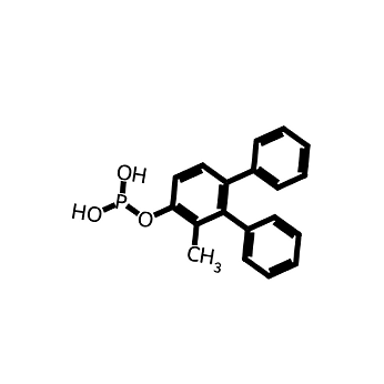 Cc1c(OP(O)O)ccc(-c2ccccc2)c1-c1ccccc1